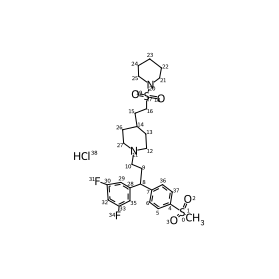 CS(=O)(=O)c1ccc(C(CCN2CCC(CCS(=O)(=O)N3CCCCC3)CC2)c2cc(F)cc(F)c2)cc1.Cl